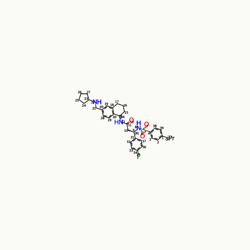 CC(C)c1ccc(S(=O)(=O)N[C@H](CC(=O)N[C@@H]2CCCc3cc(CNC4CCCC4)ccc32)c2ccc(F)cc2)cc1